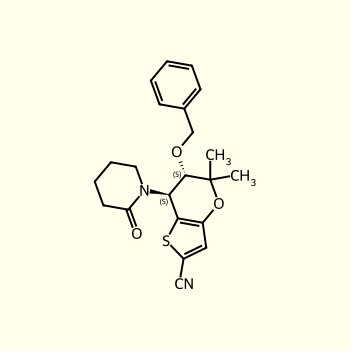 CC1(C)Oc2cc(C#N)sc2[C@@H](N2CCCCC2=O)[C@@H]1OCc1ccccc1